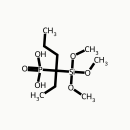 CCCC(CC)([Si](OC)(OC)OC)P(=O)(O)O